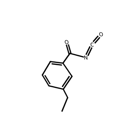 CCc1cccc(C(=O)N=C=O)c1